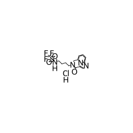 Cl.O=C1c2cnc3cccc(n23)CN1CCCCNS(=O)(=O)C(F)(F)F